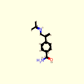 C=C(CN=C(C)C)c1ccc(C(N)=O)cc1